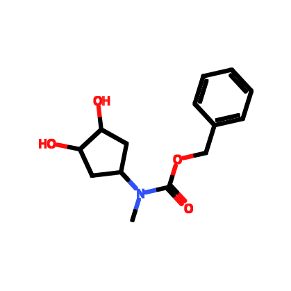 CN(C(=O)OCc1ccccc1)C1CC(O)C(O)C1